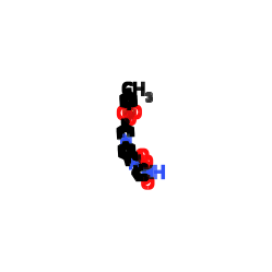 Cc1ccc(S(=O)(=O)OCC2CCN(c3ccc4c(c3)C(=O)N(C3CCC(=O)NC3=O)C4)CC2)cc1